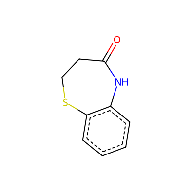 O=C1CCSc2ccccc2N1